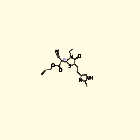 C=CCOC(=O)/C(C#N)=C1\SC(CCc2c[nH]c(C)n2)C(=O)N1CC